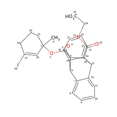 CC1(OC(=O)C2C3c4ccccc4C(c4ccccc43)C2C(=O)OCC(=O)O)C=C(I)CCC1